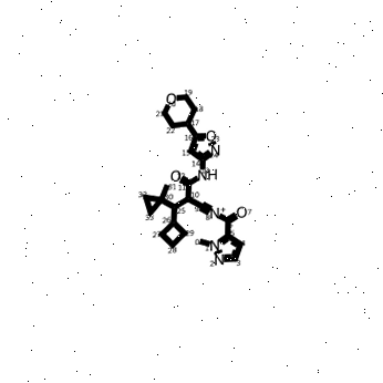 Cn1nccc1C(=O)[N+]#CC(C(=O)Nc1cc(C2CCOCC2)on1)C(C1CCC1)C1(C)CC1